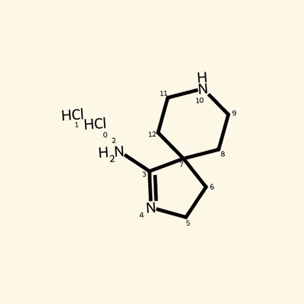 Cl.Cl.NC1=NCCC12CCNCC2